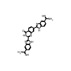 N=C(N)c1ccc2[nH]c(-c3ccc4c(=O)[nH]c(-c5nc6cc(C(=N)N)ccc6[nH]5)nc4c3)nc2c1